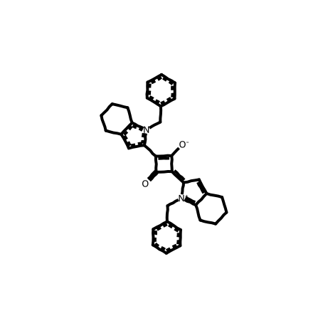 O=C1C(c2cc3c(n2Cc2ccccc2)CCCC3)=C([O-])/C1=C1\C=C2CCCCC2=[N+]1Cc1ccccc1